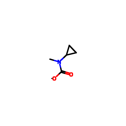 CN(C([O])=O)C1CC1